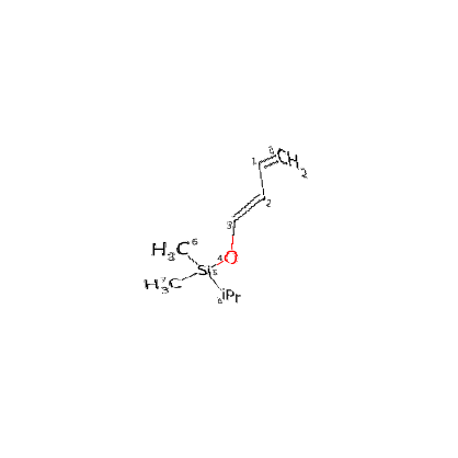 C=C/C=C/O[Si](C)(C)C(C)C